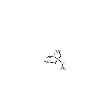 NC[Si](O[SiH3])(O[SiH3])[SiH]=O